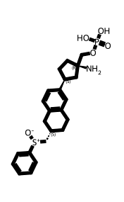 N[C@]1(COP(=O)(O)O)CC[C@H](c2ccc3c(c2)CC[C@H](C[S+]([O-])c2ccccc2)C3)C1